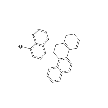 C1=CC2=C(CC1)CCc1c2ccc2ccccc12.Nc1cccc2cccnc12